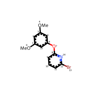 COc1cc(OC)cc(Oc2cccc(Br)n2)c1